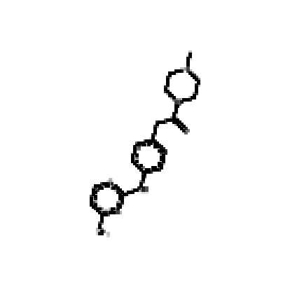 CN1CCN(C(=O)Cc2ccc(Nc3nccc(N)n3)cc2)CC1